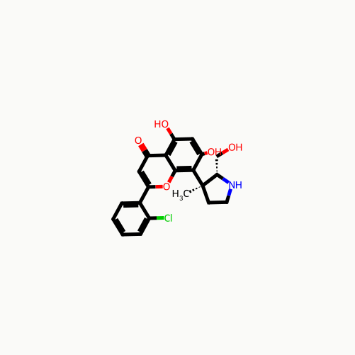 C[C@@]1(c2c(O)cc(O)c3c(=O)cc(-c4ccccc4Cl)oc23)CCN[C@H]1CO